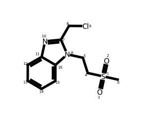 CS(=O)(=O)CCn1c(CCl)nc2ccccc21